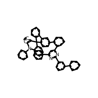 c1ccc(-c2cccc(-c3nc(-c4ccccc4)cc(-c4ccccc4-c4ccc5c(c4)-c4ccccc4C54c5ccccc5N(c5ccccc5)c5ccccc54)n3)c2)cc1